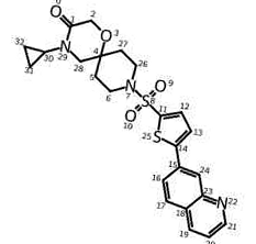 O=C1COC2(CCN(S(=O)(=O)c3ccc(-c4ccc5cccnc5c4)s3)CC2)CN1C1CC1